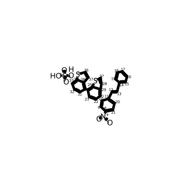 O=S(=O)(O)O.O=[N+]([O-])c1ccc(C=Cc2ccccc2)cc1.c1ccc2sccc2c1.c1ccc2sccc2c1